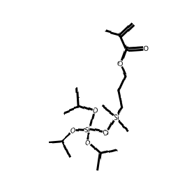 C=C(C)C(=O)OCCC[Si](C)(C)O[Si](OC(C)C)(OC(C)C)OC(C)C